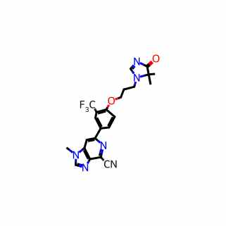 Cn1cnc2c(C#N)nc(-c3ccc(OCCCN4C=NC(=O)C4(C)C)c(C(F)(F)F)c3)cc21